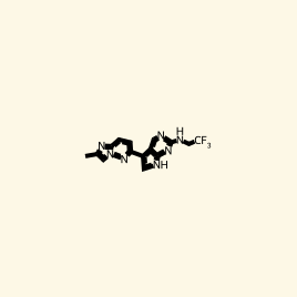 Cc1cn2nc(-c3c[nH]c4nc(NCC(F)(F)F)ncc34)ccc2n1